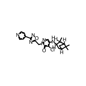 C[C@@H]1[C@H]2C[C@@H](C[C@H]1Nc1cnn(Cc3nc(-c4ccncc4)no3)c(=O)c1Cl)C2(C)C